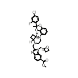 COC(=O)c1ccc2nc(CN3CCN(c4cccc5c4OC(C)(c4ccc(Cl)cc4F)O5)[C@H]4CC[C@H]43)n(C[C@@H]3CCO3)c2c1